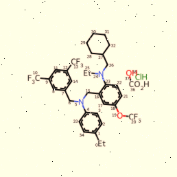 CCc1ccc(N(Cc2cc(C(F)(F)F)cc(C(F)(F)F)c2)Cc2cc(OC(F)(F)F)ccc2N(CC)CC2CCCCC2)cc1.Cl.O=C(O)O